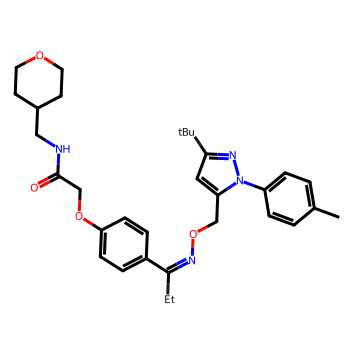 CCC(=NOCc1cc(C(C)(C)C)nn1-c1ccc(C)cc1)c1ccc(OCC(=O)NCC2CCOCC2)cc1